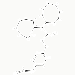 CCCC(CCc1ccc(N=C=S)cc1)C(C1CCCCCCC1)C1CCCCCCC1